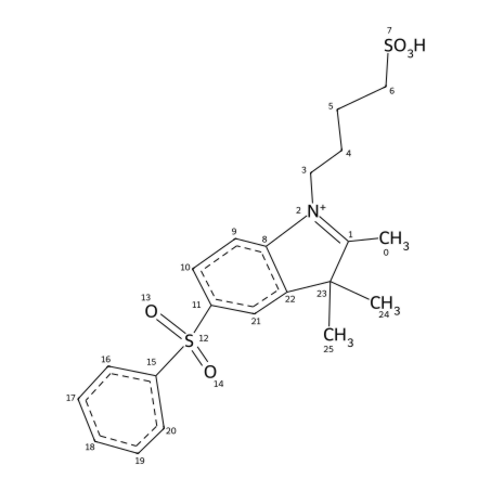 CC1=[N+](CCCCS(=O)(=O)O)c2ccc(S(=O)(=O)c3ccccc3)cc2C1(C)C